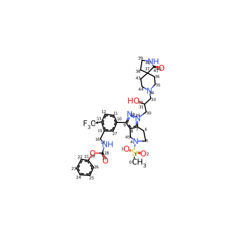 CS(=O)(=O)N1CCc2c(c(-c3ccc(C(F)(F)F)c(CNC(=O)Oc4ccccc4)c3)nn2CC(O)CN2CCC3(CCNC3=O)CC2)C1